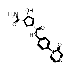 NC(=O)[C@H]1C[C@@H](C(=O)Nc2ccc(-n3ccncc3=O)cc2)C[C@@H]1O